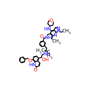 CCc1nc2c(cnn2CC)c(NC2CCOCC2)c1CNC(=O)c1cccc(CC(C)(C)NCC(O)c2ccc(OCc3ccccc3)c3[nH]c(=O)ccc23)c1